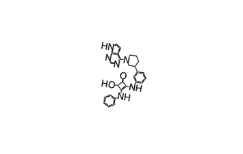 O=C1C(Nc2cccc(C3CCCN(c4ncnc5[nH]ccc45)C3)c2)=C(Nc2ccccc2)C1O